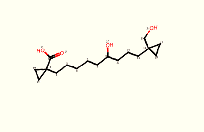 O=C(O)C1(CCCCCC(O)CCCC2(CO)CC2)CC1